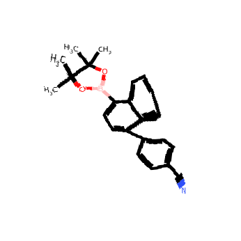 CC1(C)OB(c2ccc(-c3ccc(C#N)cc3)c3ccccc23)OC1(C)C